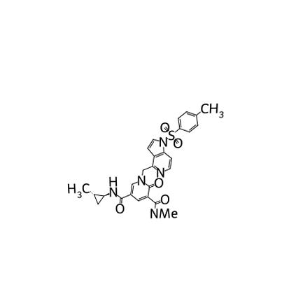 CNC(=O)c1cc(C(=O)N[C@H]2C[C@@H]2C)cn(Cc2nccc3c2ccn3S(=O)(=O)c2ccc(C)cc2)c1=O